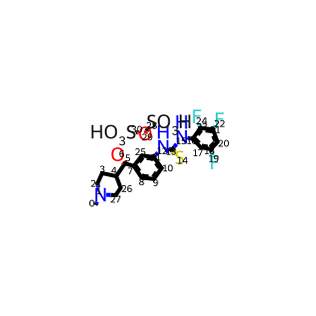 CN1CCC(C(=O)c2cccc(NC(=S)Nc3cc(F)cc(F)c3F)c2)CC1.O=S(=O)(O)OS(=O)(=O)O